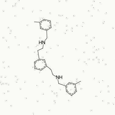 Cc1cccc(CNCCc2cccc(CCNCc3cccc(C)c3)c2)c1